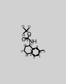 Cc1ccc2c(c1)C(NC(=O)OC(C)(C)C)CCC2